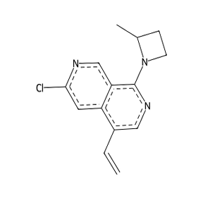 C=Cc1cnc(N2CCC2C)c2cnc(Cl)cc12